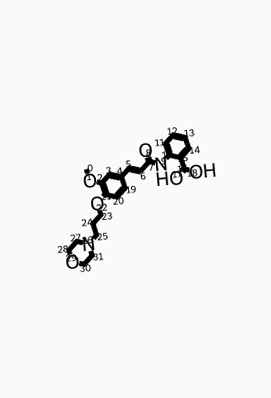 COc1cc(/C=C/C(=O)Nc2ccccc2C(=O)O)ccc1OCCCN1CCOCC1